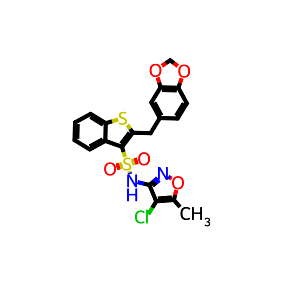 Cc1onc(NS(=O)(=O)c2c(Cc3ccc4c(c3)OCO4)sc3ccccc23)c1Cl